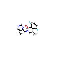 CCCc1cncnc1CN(CCC(C)C)C(=O)c1cc(F)ccc1F